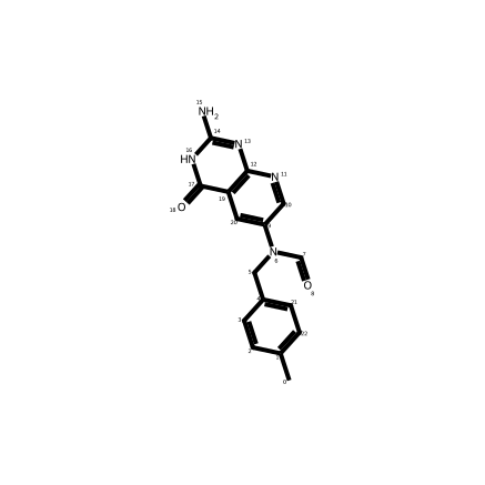 Cc1ccc(CN(C=O)c2cnc3nc(N)[nH]c(=O)c3c2)cc1